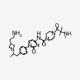 CNC(C)(C)C(=O)N1CCN(C(=O)Nc2ccn(-c3ccc(CC(C)N4CC(CCN)C4)cc3)c(=O)n2)CC1